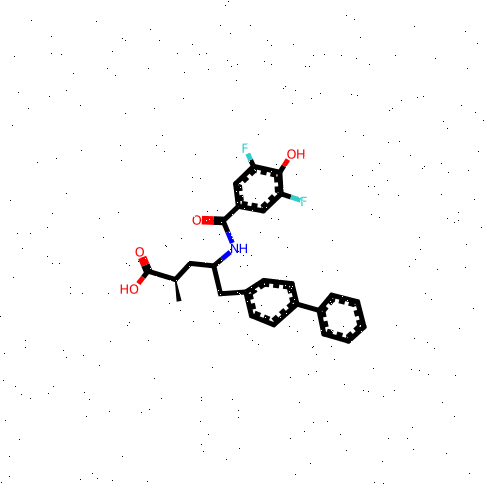 C[C@H](CC(Cc1ccc(-c2ccccc2)cc1)NC(=O)c1cc(F)c(O)c(F)c1)C(=O)O